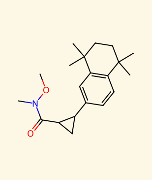 CON(C)C(=O)C1CC1c1ccc2c(c1)C(C)(C)CCC2(C)C